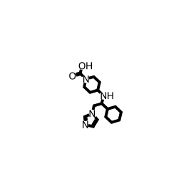 O=C(O)N1CCC(NC(Cn2ccnc2)C2CCCCC2)CC1